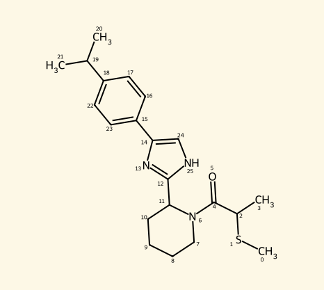 CSC(C)C(=O)N1CCCCC1c1nc(-c2ccc(C(C)C)cc2)c[nH]1